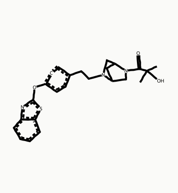 CC(C)(O)C(=O)N1CC2CC1CN2CCc1ccc(Oc2nc3ccccc3s2)cc1